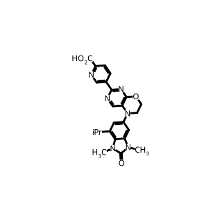 CC(C)c1cc(N2CCOc3nc(-c4ccc(C(=O)O)nc4)ncc32)cc2c1n(C)c(=O)n2C